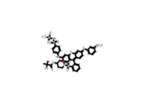 CCC(C)(C)C(=O)OC1CCN(S(=O)(=O)c2ccccc2-c2c3cc/c(=N\c4cccc(S(=O)(=O)O)c4)cc-3oc3cc(Nc4ccc(S(=O)(=O)NS(=O)(=O)C(F)(F)F)cc4)ccc23)CC1